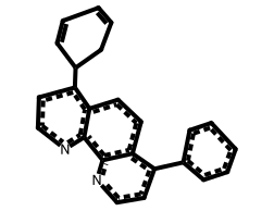 C1=CCC(c2ccnc3c2ccc2c(-c4ccccc4)ccnc23)C=C1